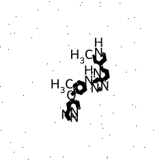 Cc1cc(Nc2ncnc3ccc(C4=CCN[C@@H](C)C4)nc23)ccc1Oc1ccn2ncnc2c1